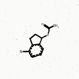 NC(=O)OC1CCc2c(Br)cccc21